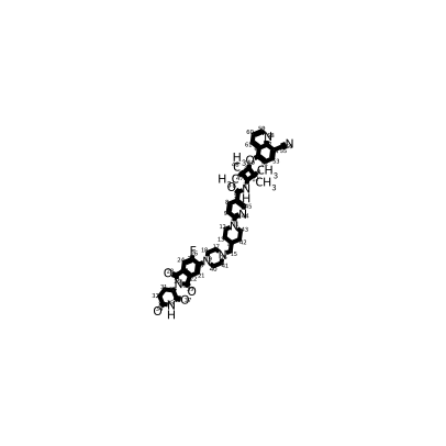 CC1(C)C(NC(=O)c2ccc(N3CCC(CN4CCN(c5cc6c(cc5F)C(=O)N(C5CCC(=O)NC5=O)C6=O)CC4)CC3)nc2)C(C)(C)C1Oc1ccc(C#N)c2ncccc12